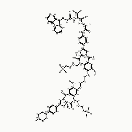 COc1cc2c(cc1OCCCOc1cc3c(cc1OC)C(=O)N1C=C(c4ccc(N5CCN(C)CC5)cc4)C[C@H]1C(=O)N3COCC[Si](C)(C)C)N(COCC[Si](C)(C)C)C(=O)[C@@H]1CC(c3ccc(NC(=O)[C@@H](C)NC(=O)[C@@H](NC(=O)OCC4c5ccccc5-c5ccccc54)C(C)C)cc3)=CN1C2=O